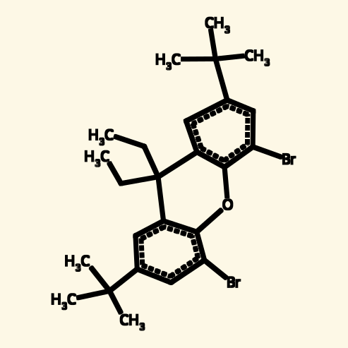 CCC1(CC)c2cc(C(C)(C)C)cc(Br)c2Oc2c(Br)cc(C(C)(C)C)cc21